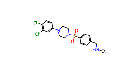 CCNCc1ccc(S(=O)(=O)N2CCN(c3ccc(Cl)c(Cl)c3)CC2)cc1